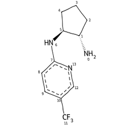 N[C@H]1CCC[C@@H]1Nc1ccc(C(F)(F)F)cn1